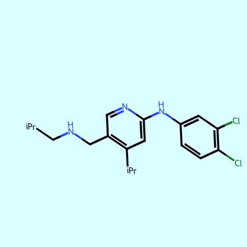 CC(C)CNCc1cnc(Nc2ccc(Cl)c(Cl)c2)cc1C(C)C